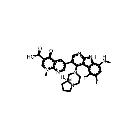 CNc1cc(F)c(F)c2c1[nH]c1ncc(-c3cnc4c(c3)c(=O)c(C(=O)O)cn4C)c(N3CCN4CCC[C@H]4C3)c12